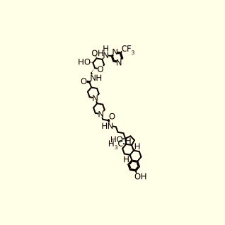 C[C@]12CC[C@@H]3c4ccc(O)cc4CC[C@H]3[C@@H]1CC[C@@]2(O)CCCNC(=O)CN1CCC(N2CCC(C(=O)NC[C@H]3OC[C@H](Nc4cncc(C(F)(F)F)n4)[C@@H](O)[C@H]3O)CC2)CC1